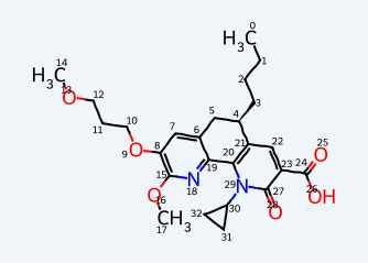 CCCC[C@@H]1Cc2cc(OCCCOC)c(OC)nc2-c2c1cc(C(=O)O)c(=O)n2C1CC1